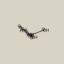 O=CCOCCOCCNC(=O)COCCOCCNC(=O)[C@H](CCC(=O)O)NC(=O)CCCCCCCCCCCCCCCCC(=O)O